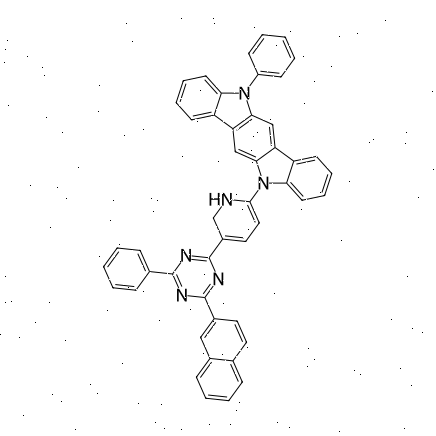 C1=C(c2nc(-c3ccccc3)nc(-c3ccc4ccccc4c3)n2)CNC(n2c3ccccc3c3cc4c(cc32)c2ccccc2n4-c2ccccc2)=C1